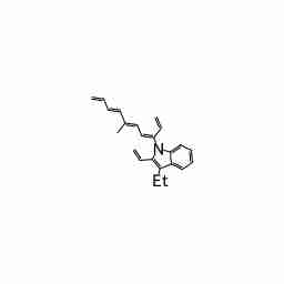 C=C/C=C/C(C)=C/C=C(\C=C)n1c(C=C)c(CC)c2ccccc21